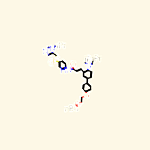 CCCCOCCOc1ccc(-c2ccc(N(CC(C)C)CC(C)C)c(C=CC(=O)Nc3ccc([S@@+]([O-])Cc4cncn4CCC)cc3)c2)cc1